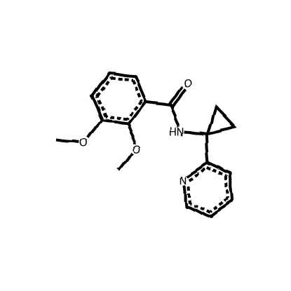 COc1cccc(C(=O)NC2(c3ccccn3)CC2)c1OC